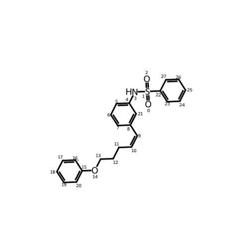 O=S(=O)(Nc1cccc(/C=C\CCCOc2[c]cccc2)c1)c1ccccc1